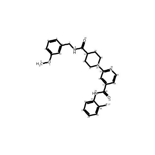 COc1cccc(CNC(=O)C2CCN(c3cc(C(=O)Nc4ccccc4F)ccn3)CC2)c1